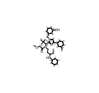 COCC(=O)N(CCC(CF)Nc1ccccc1)C(c1nc(-c2cccc(F)c2)cn1Cc1cccc(O)c1)C(C)(C)C